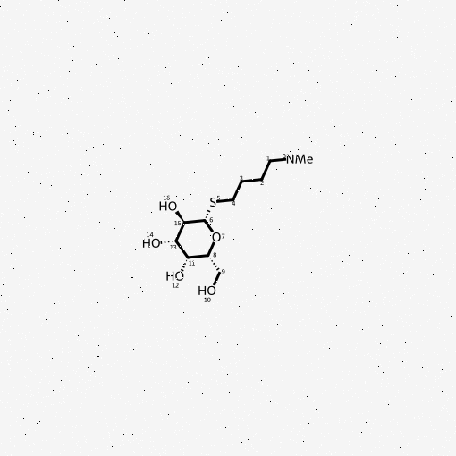 CNCCCCS[C@@H]1O[C@H](CO)[C@H](O)[C@H](O)[C@H]1O